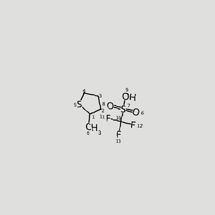 CC1CCCS1.O=S(=O)(O)C(F)(F)F